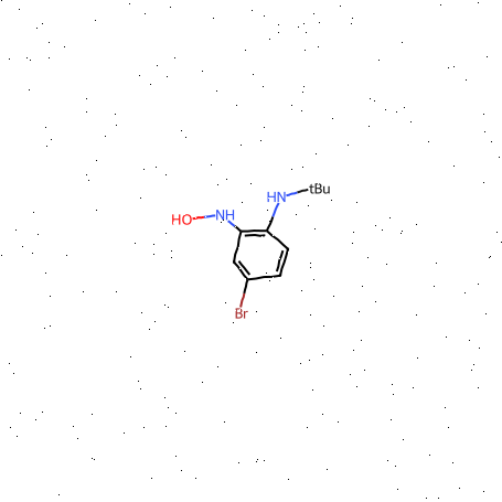 CC(C)(C)Nc1ccc(Br)cc1NO